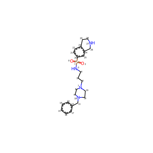 O=S(=O)(NCCCN1CCN(Cc2ccccc2)CC1)c1ccc2c(c1)CNCC2